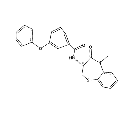 CN1C(=O)[C@@H](NC(=O)c2cccc(Oc3ccccc3)c2)CSc2ccccc21